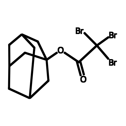 O=C(OC12CC3CC(CC(C3)C1)C2)C(Br)(Br)Br